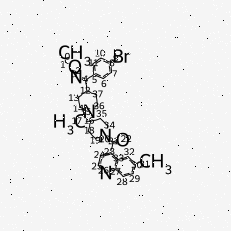 CCON=C(c1ccc(Br)cc1)C1CCN(C2(C)CCN(C(=O)c3ccnc4ccc(C)cc34)CC2)CC1